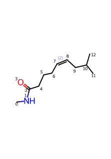 CNC(=O)CCC/C=C\CC(C)C